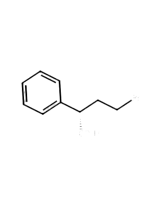 O=C(O)[C@@H](CCBr)c1ccccc1